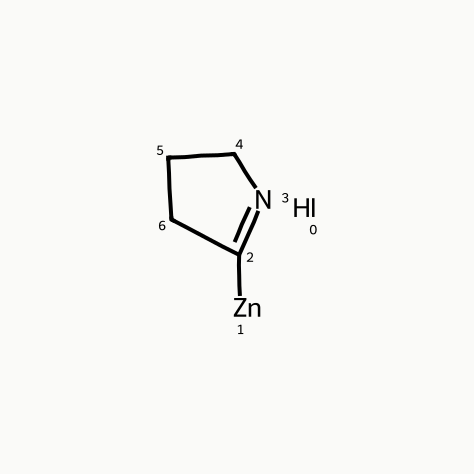 I.[Zn][C]1=NCCC1